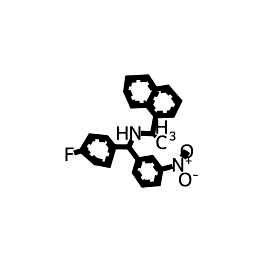 C[C@@H](NC(c1ccc(F)cc1)c1cccc([N+](=O)[O-])c1)c1cccc2ccccc12